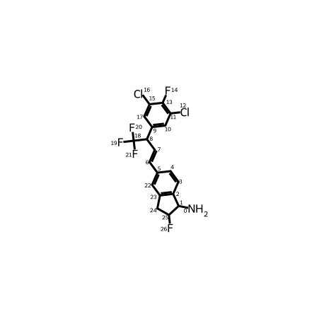 NC1c2ccc(C=CC(c3cc(Cl)c(F)c(Cl)c3)C(F)(F)F)cc2CC1F